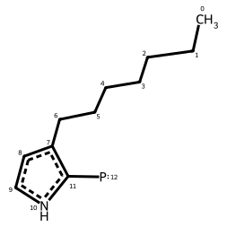 CCCCCCCc1cc[nH]c1[P]